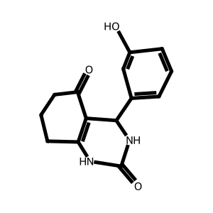 O=C1NC2=C(C(=O)CCC2)C(c2cccc(O)c2)N1